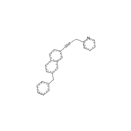 C(#Cc1ccc2ccc(Cc3ccccc3)cc2c1)Cc1ccccn1